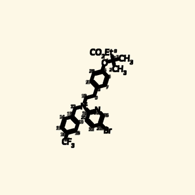 CCOC(=O)C(C)(C)Oc1ccc(CCN(Cc2ccc(C(F)(F)F)cc2)c2ccc(Br)cn2)cc1